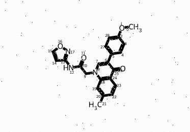 COc1ccc(-c2cn(CC(=O)Nc3ccon3)c3cc(C)ccc3c2=O)cc1